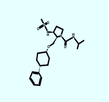 CC(C)NC(=O)N1CC[C@H](NS(C)(=O)=O)[C@@H]1CO[C@H]1CC[C@@H](c2ccccc2)CC1